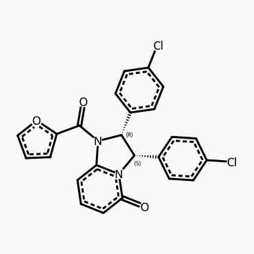 O=C(c1ccco1)N1c2cccc(=O)n2[C@@H](c2ccc(Cl)cc2)[C@H]1c1ccc(Cl)cc1